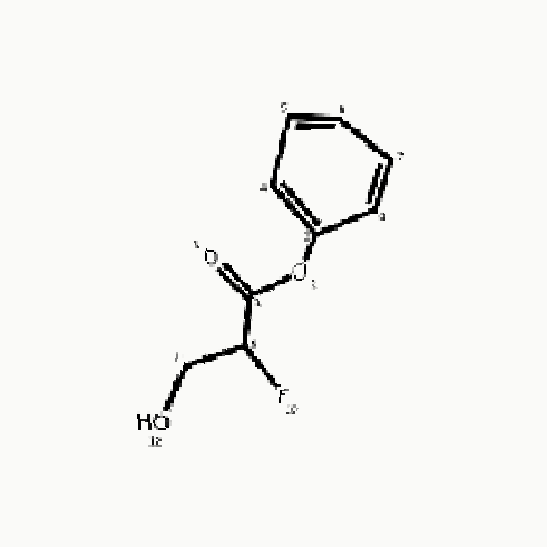 O=C(Oc1ccccc1)C(F)CO